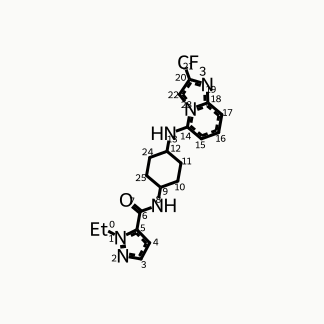 CCn1nccc1C(=O)NC1CCC(Nc2cccc3nc(C(F)(F)F)cn23)CC1